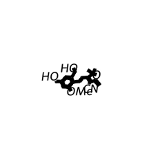 C=C1OC(C)(C)C(/C=C/c2c(CO)cc(CO)cc2OC)=C1C#N